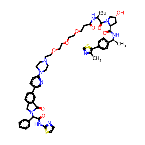 Cc1ncsc1-c1ccc([C@H](C)NC(=O)[C@@H]2C[C@@H](O)CN2C(=O)C(NC(=O)CCOCCOCCOCCN2CCN(c3ccc(-c4ccc5c(c4)C(=O)N(C(C(=O)Nc4nccs4)c4ccccc4)C5)cn3)CC2)C(C)(C)C)cc1